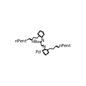 CCCCCC=CCCc1ccccc1N=CC(CCCC)=Nc1ccccc1CCC=CCCCCC.[Pd]